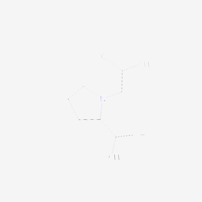 CC(C)CN1CCCC1C(C)C